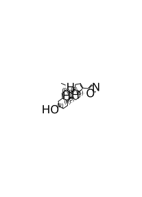 CC[C@H]1C=C2C[C@H](O)CC[C@]2(C)[C@H]2CC[C@]3(C)C(c4cnco4)=CC[C@H]3[C@H]12